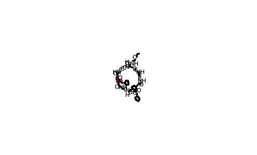 CCCOCCNC(=O)C1CCCNCCCNC(=O)c2ccc(n(OCc3ccccc3)c2=O)C(=O)NCCNC(=O)c2ccc(c(=O)n2OCc2ccccc2)C(=O)NCCCN1